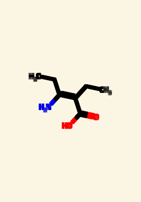 CC/C(N)=C(\CC)C(=O)O